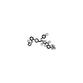 CN(c1ccc2oc(C(=O)N[C@@H](C=C3CCN(c4ccccc4CN4CCCC4=O)CC3)Cc3ccc(Cl)cc3)cc(=O)c2c1)S(C)(=O)=O